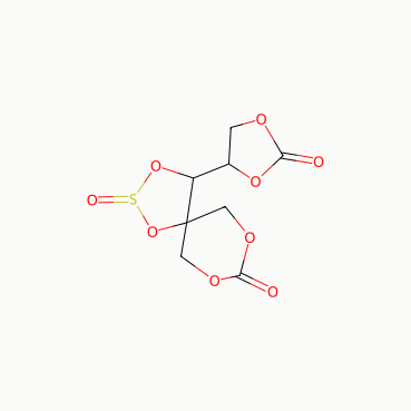 O=C1OCC2(CO1)OS(=O)OC2C1COC(=O)O1